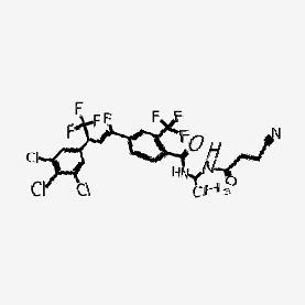 CC(NC(=O)CCC#N)NC(=O)c1ccc(/C(F)=C/C(c2cc(Cl)c(Cl)c(Cl)c2)C(F)(F)F)cc1C(F)(F)F